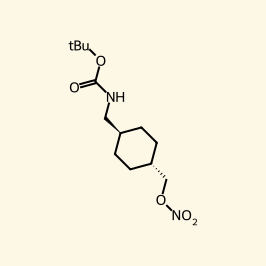 CC(C)(C)OC(=O)NC[C@H]1CC[C@H](CO[N+](=O)[O-])CC1